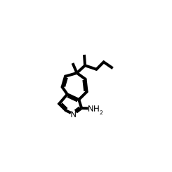 CCCC(C)C1(C)C=Cc2ccnc(N)c2C=C1